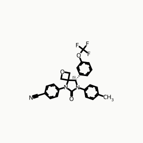 Cc1ccc(N2C(=O)N(c3ccc(C#N)cc3)C3(COC3)[C@@H]2c2cccc(OC(F)(F)F)c2)cc1